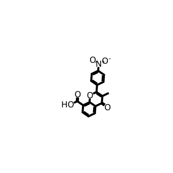 Cc1c(-c2ccc([N+](=O)[O-])cc2)oc2c(C(=O)O)cccc2c1=O